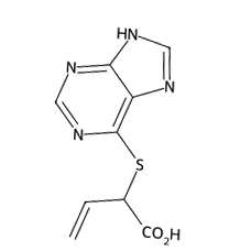 C=CC(Sc1ncnc2[nH]cnc12)C(=O)O